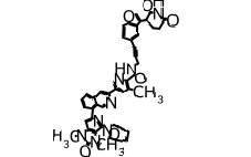 Cc1cc(-c2cc3cccc(-c4cc5c(c(N6CC7CCC(C6)O7)n4)n(C)c(=O)n5C)c3cn2)cnc1C(=O)NCC#Cc1ccc2occ(C3CCC(=O)NC3=O)c2c1